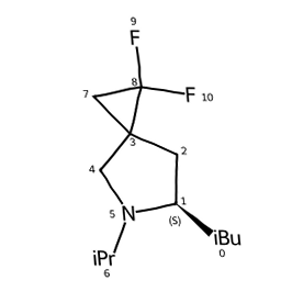 CCC(C)[C@@H]1CC2(CN1C(C)C)CC2(F)F